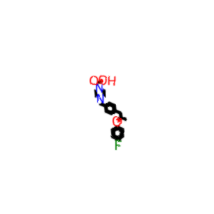 CC(Cc1ccc(CN2CCN(C(=O)O)CC2)cc1)Oc1ccc(F)cc1